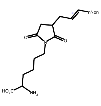 CCCCCCCCC/C=C/CC1CC(=O)N(CCCCC(N)C(=O)O)C1=O